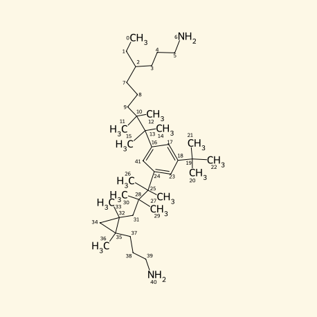 CCC(CCCN)CCCC(C)(C)C(C)(C)c1cc(C(C)(C)C)cc(C(C)(C)C(C)(C)CC2(C)CC2(C)CCCN)c1